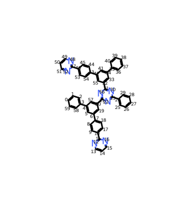 c1ccc(-c2cc(-c3ccc(-c4ncccn4)cc3)cc(-c3nc(-c4ccccc4)nc(-c4cc(-c5ccccc5)cc(-c5ccc(-c6ncccn6)cc5)c4)n3)c2)cc1